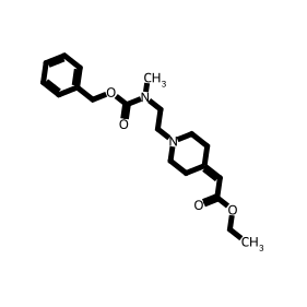 CCOC(=O)C=C1CCN(CCN(C)C(=O)OCc2ccccc2)CC1